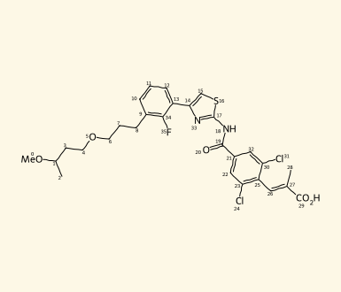 COC(C)CCOCCCc1cccc(-c2csc(NC(=O)c3cc(Cl)c(C=C(C)C(=O)O)c(Cl)c3)n2)c1F